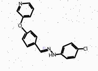 Clc1ccc(N/N=C/c2ccc(Oc3cccnc3)cc2)cc1